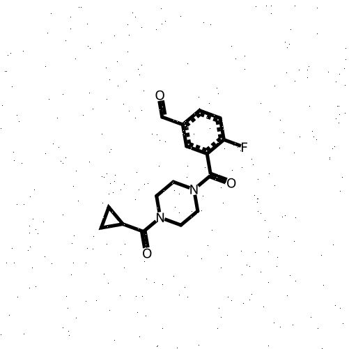 O=Cc1ccc(F)c(C(=O)N2CCN(C(=O)C3CC3)CC2)c1